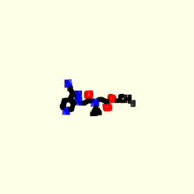 CCOC(=O)CN(C(=O)Cn1nc(C#N)c2ccncc21)C1CC1